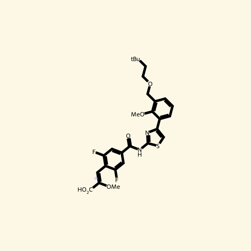 CO/C(=C\c1c(F)cc(C(=O)Nc2nc(-c3cccc(COCCC(C)(C)C)c3OC)cs2)cc1F)C(=O)O